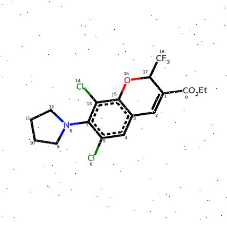 CCOC(=O)C1=Cc2cc(Cl)c(N3CCCC3)c(Cl)c2OC1C(F)(F)F